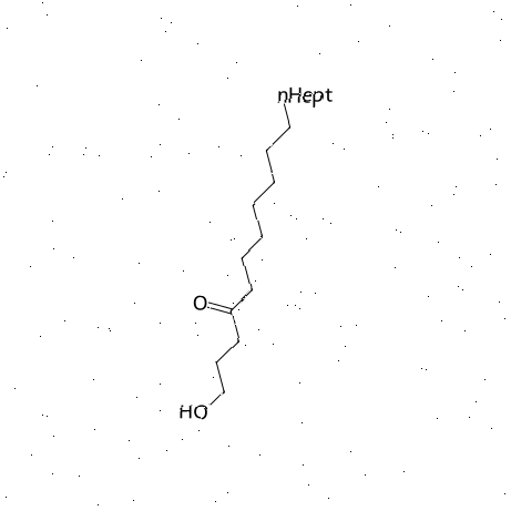 CCCCCCCCCCCCCCC(=O)CCCO